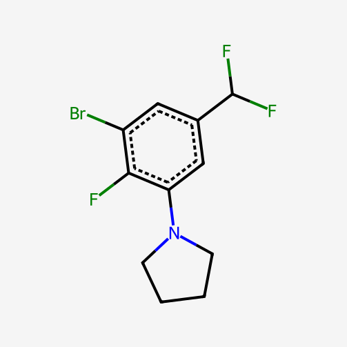 Fc1c(Br)cc(C(F)F)cc1N1CCCC1